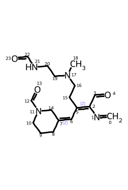 C=N/C(C=O)=C(\C=C1\CCCN(C=O)C1)CCN(C)CCNC=O